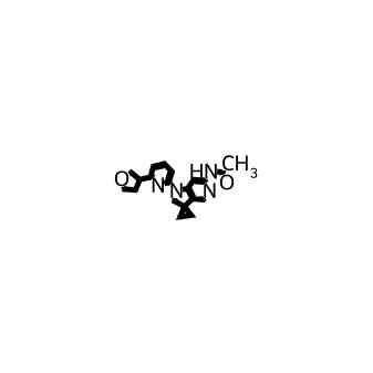 CC(=O)Nc1cc2c(cn1)C1(CC1)CN2c1cccc(C2CCOC2)n1